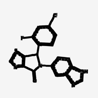 O=C1c2ncsc2C(c2ccc(Cl)cc2F)N1c1ccc2[nH]cnc2c1